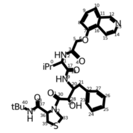 CC(C)C(NC(=O)COc1cccc2cnccc12)C(=O)NC(Cc1ccccc1)C(O)C(=O)N1CSCC1C(=O)NC(C)(C)C